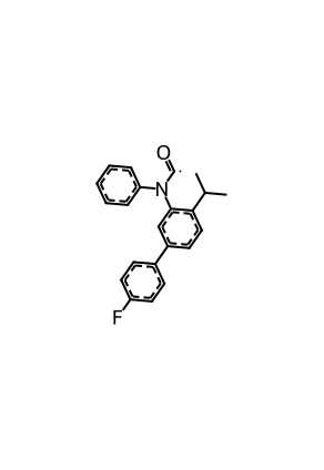 CC(C)c1ccc(-c2ccc(F)cc2)cc1N([C]=O)c1ccccc1